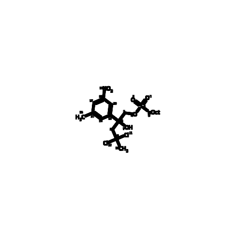 CCCCCCCCS(=O)(=O)OCC(O)(CC(C)(Cl)Cl)c1cc(C)cc([N+](=O)[O-])c1